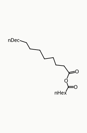 CCCCCCCCCCCCCCCCCC(=O)OC(=O)CCCCCC